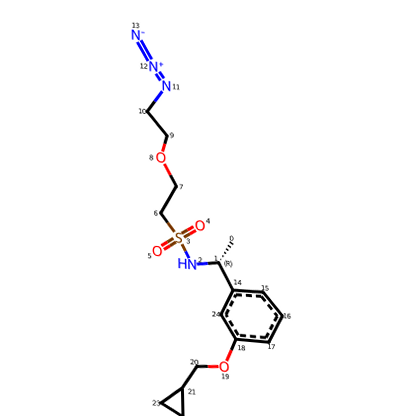 C[C@@H](NS(=O)(=O)CCOCCN=[N+]=[N-])c1cccc(OCC2CC2)c1